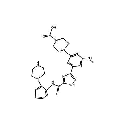 CNc1nc(-c2c[nH]c(C(=O)Nc3ccccc3N3CCNCC3)n2)cc(N2CCN(C(=O)O)CC2)n1